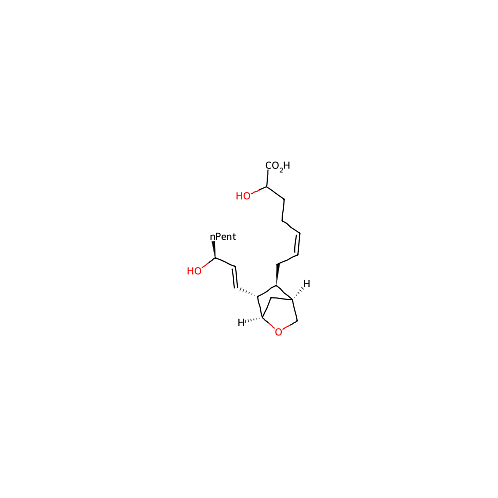 CCCCC[C@H](O)/C=C/[C@@H]1[C@@H](C/C=C\CCC(O)C(=O)O)[C@H]2CO[C@@H]1C2